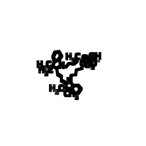 CCCCCN1C(=CC=CC2N(CCCCC)c3ccccc3C2(C)C)C(C)(C)c2ccccc21.[O-][Cl+3]([O-])([O-])O